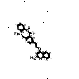 CCN1Cc2ncc(CCOc3cc(O)nc4ccccc34)cc2C(=O)N(C)c2cccnc21